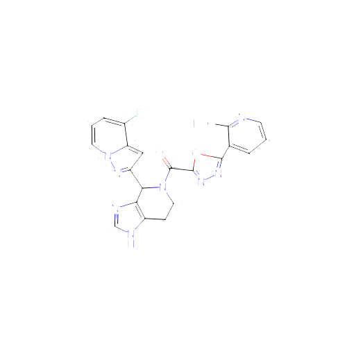 Cc1ncccc1-c1nnc(C(=O)N2CCc3[nH]cnc3C2c2cc3c(F)cccn3n2)o1